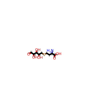 NC(CCSCC(O)C(O)C(O)C=O)C(=O)O